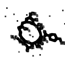 COc1cc2cc(c1Cl)N(C)C(=O)C[C@H](OC(=O)C1CCC(CS)CC1)[C@]1(C)O[C@H]1[C@H](C)[C@@H]1C[C@@](O)(NC(=O)O1)[C@H](OC)/C=C/C=C(\C)C2